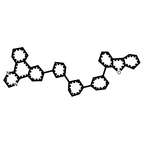 c1cc(-c2cccc(-c3ccc4c(c3)c3ccccc3c3nccnc43)c2)cc(-c2cccc(-c3cccc4c3oc3ccccc34)c2)c1